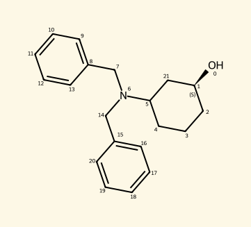 O[C@H]1CCCC(N(Cc2ccccc2)Cc2ccccc2)C1